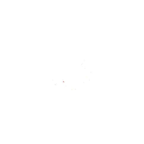 CC(=O)N[C@@H](CCCc1cccc2c1CN(C1CCC(=O)NC1=O)C2=O)C(=O)NC1CC2C[C@@H]3CC4CCC1C3C42